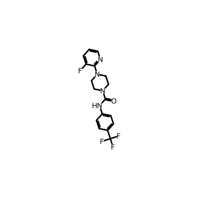 O=C(Nc1ccc(C(F)(F)F)cc1)N1CCN(c2ncccc2F)CC1